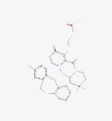 COC(=O)OCOc1c2n(ccc1=O)N([C@H]1c3ccc(F)cc3CSc3ccccc31)[C@@H]1CC(F)(F)CCN1C2=O